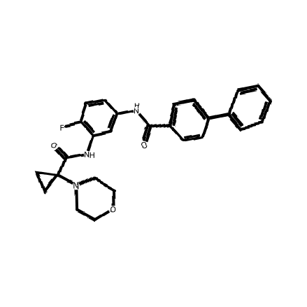 O=C(Nc1ccc(F)c(NC(=O)C2(N3CCOCC3)CC2)c1)c1ccc(-c2ccccc2)cc1